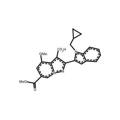 COC(=O)c1cc(OC)c2c(C(=O)O)c(-c3cc4ccccc4n3CC3CC3)nn2c1